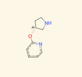 c1ccc(O[C@@H]2CCNC2)nc1